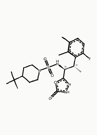 Cc1ccc(F)c([C@H](C)[C@H](NS(=O)(=O)N2CCC(C(C)(C)C)CC2)c2n[nH]c(=O)o2)c1C